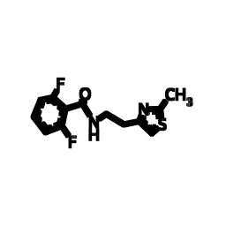 Cc1nc(CCNC(=O)c2c(F)cccc2F)cs1